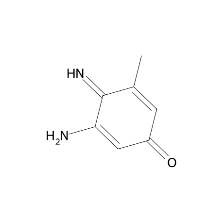 CC1=CC(=O)C=C(N)C1=N